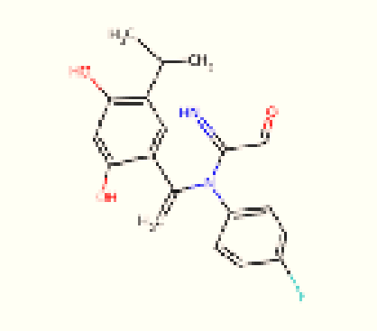 C=C(c1cc(C(C)C)c(O)cc1O)N(C(=N)C=O)c1ccc(F)cc1